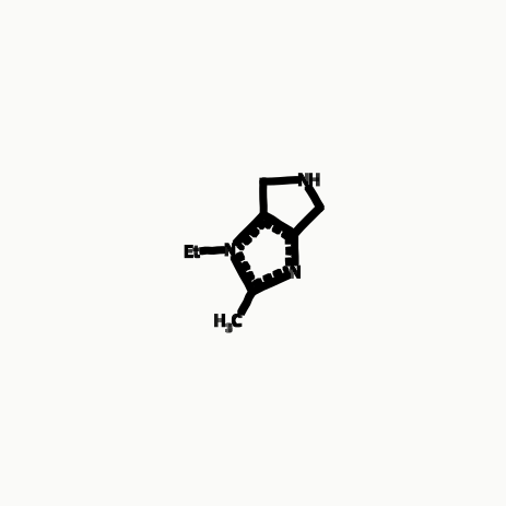 CCn1c(C)nc2c1CNC2